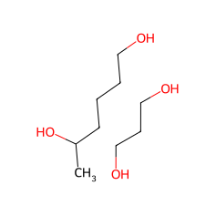 CC(O)CCCCO.OCCCO